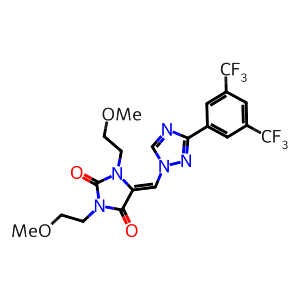 COCCN1C(=O)/C(=C/n2cnc(-c3cc(C(F)(F)F)cc(C(F)(F)F)c3)n2)N(CCOC)C1=O